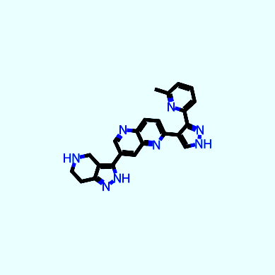 Cc1cccc(-c2n[nH]cc2-c2ccc3ncc(-c4[nH]nc5c4CNCC5)cc3n2)n1